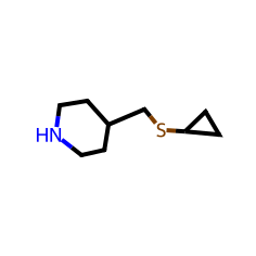 C1CC(CSC2CC2)CCN1